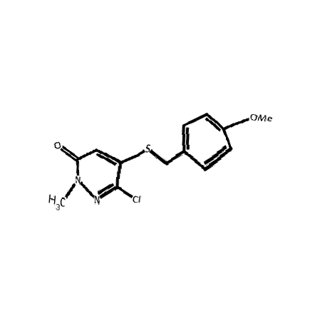 COc1ccc(CSc2cc(=O)n(C)nc2Cl)cc1